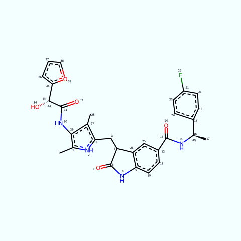 Cc1[nH]c(CC2C(=O)Nc3ccc(C(=O)N[C@H](C)c4ccc(F)cc4)cc32)c(C)c1NC(=O)[C@H](O)c1ccco1